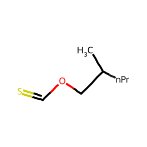 CCCC(C)COC=S